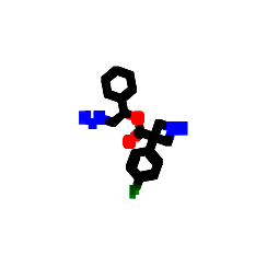 NC[C@H](OC(=O)C1(c2ccc(F)cc2)CNC1)C1CCCCC1